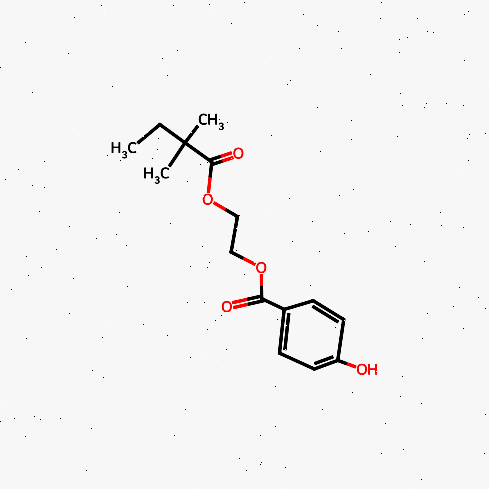 CCC(C)(C)C(=O)OCCOC(=O)c1ccc(O)cc1